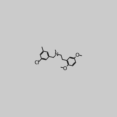 COc1ccc(OC)c(CCN(C)Cc2cc(C)cc(Cl)c2)c1